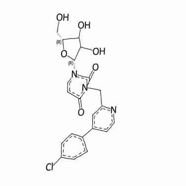 O=c1ccn([C@@H]2O[C@H](CO)C(O)C2O)c(=O)n1Cc1cc(-c2ccc(Cl)cc2)ccn1